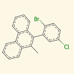 Cc1c(-c2cc(Cl)ccc2Br)c2ccccc2c2ccccc12